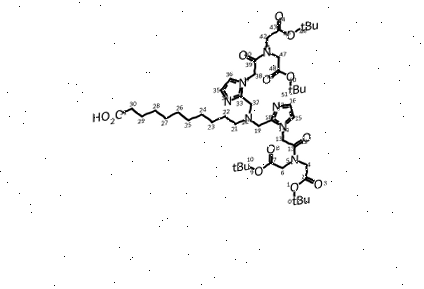 CC(C)(C)OC(=O)CN(CC(=O)OC(C)(C)C)C(=O)Cn1ccnc1CN(CCCCCCCCCCC(=O)O)Cc1nccn1CC(=O)N(CC(=O)OC(C)(C)C)CC(=O)OC(C)(C)C